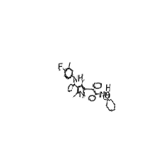 Cc1cc(NC(=O)c2c(C)c(C(=O)C(=O)NCC3(O)CCCCC3)n(C)c2C)ccc1F